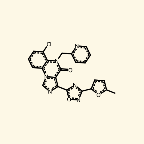 Cc1ccc(-c2noc(-c3ncn4c3c(=O)n(Cc3ccccn3)c3c(Cl)cccc34)n2)o1